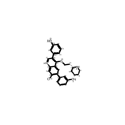 Oc1cccc(-c2cc3c(OCC[C@H]4CCCCN4)c(-c4cccc(O)c4)cnc3cc2Cl)c1